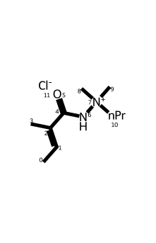 CC=C(C)C(=O)N[N+](C)(C)CCC.[Cl-]